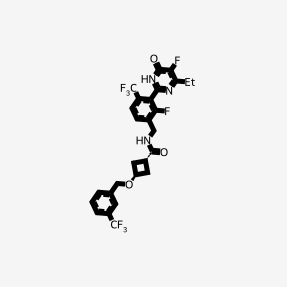 CCc1nc(-c2c(C(F)(F)F)ccc(CNC(=O)[C@H]3C[C@H](OCc4cccc(C(F)(F)F)c4)C3)c2F)[nH]c(=O)c1F